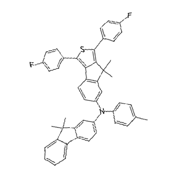 Cc1ccc(N(c2ccc3c(c2)C(C)(C)c2ccccc2-3)c2ccc3c(c2)C(C)(C)c2c(-c4ccc(F)cc4)sc(-c4ccc(F)cc4)c2-3)cc1